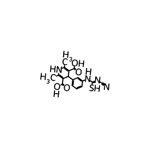 CC1=C(C(=O)O)C(c2cccc(N/C(S)=N/C#N)c2)C(C(=O)O)=C(C)N1